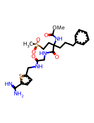 COC(=O)NC(CCCc1ccccc1)(CCS(C)(=O)=O)C(=O)NCC(=O)NCc1ccc(C(=N)N)s1